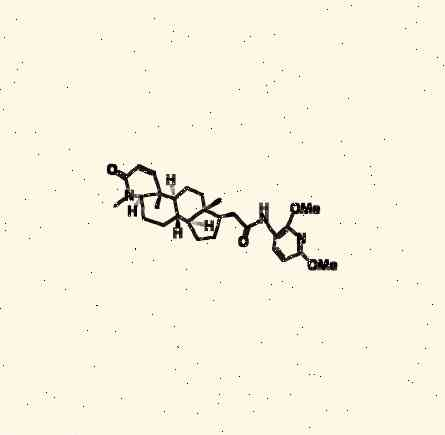 COc1ccc(NC(=O)C[C@H]2CC[C@H]3[C@@H]4CC[C@H]5N(C)C(=O)C=C[C@]5(C)[C@H]4CC[C@]23C)c(OC)n1